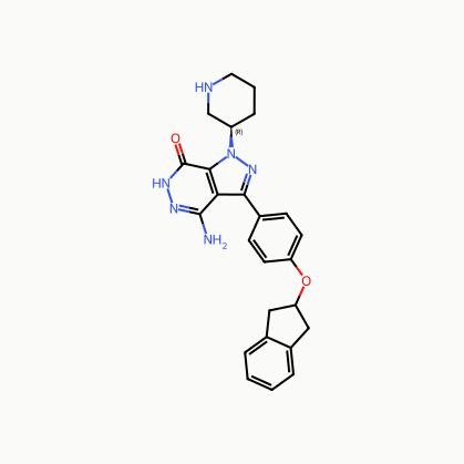 Nc1n[nH]c(=O)c2c1c(-c1ccc(OC3Cc4ccccc4C3)cc1)nn2[C@@H]1CCCNC1